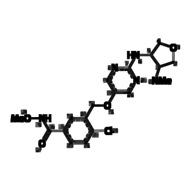 CNC1COCC1Nc1ncc(OCc2cc(C(=O)NOC)ccc2Cl)cn1